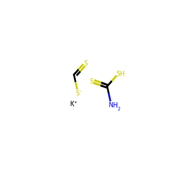 NC(=S)S.S=C[S-].[K+]